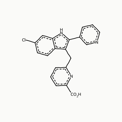 O=C(O)c1cccc(Cc2c(-c3cccnc3)[nH]c3cc(Cl)ccc23)n1